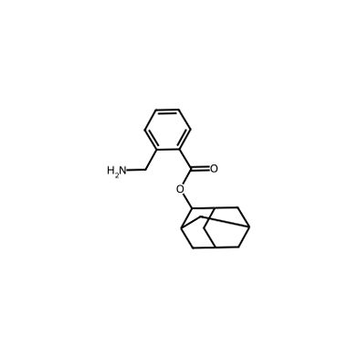 NCc1ccccc1C(=O)OC1C2CC3CC(C2)CC1C3